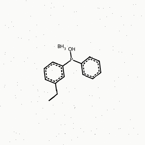 B.CCc1cccc(P(O)c2ccccc2)c1